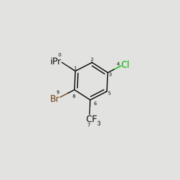 CC(C)c1cc(Cl)cc(C(F)(F)F)c1Br